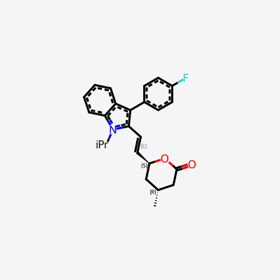 CC(C)n1c(/C=C/[C@@H]2C[C@@H](C)CC(=O)O2)c(-c2ccc(F)cc2)c2ccccc21